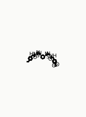 CCc1ccc(CC(=O)Nc2nnc([C@H]3CCC[C@H](c4nnc(NC(=O)Cc5ccc(S(C)(=O)=O)cc5)s4)C3)s2)cc1